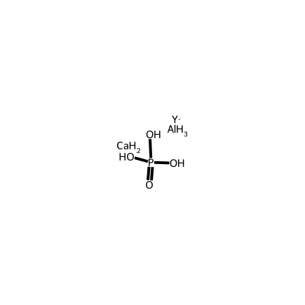 O=P(O)(O)O.[AlH3].[CaH2].[Y]